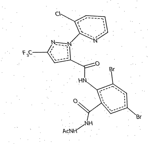 CC(=O)NNC(=O)c1cc(Br)cc(Br)c1NC(=O)c1cc(C(F)(F)F)nn1-c1ncccc1Cl